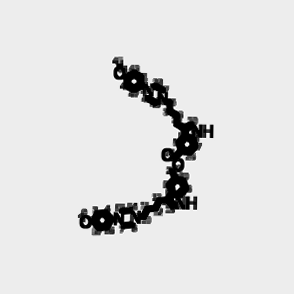 COc1ccc(N2CCN(CCCCc3c[nH]c4ccc(COC(=O)c5ccc6[nH]cc(CCCCN7CCN(c8ccc(OC)cc8)CC7)c6c5)cc34)CC2)cc1